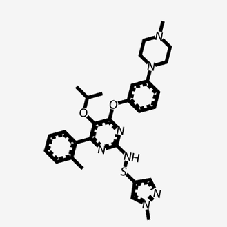 Cc1ccccc1-c1nc(NSc2cnn(C)c2)nc(Oc2cccc(N3CCN(C)CC3)c2)c1OC(C)C